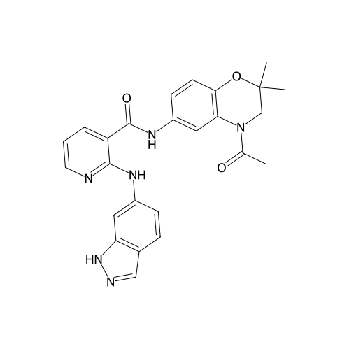 CC(=O)N1CC(C)(C)Oc2ccc(NC(=O)c3cccnc3Nc3ccc4cn[nH]c4c3)cc21